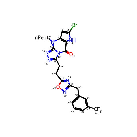 CCCCCn1c2cc(Br)[nH]c2c(=O)n2c(CCc3nc(Cc4cccc(C(F)(F)F)c4)no3)nnc12